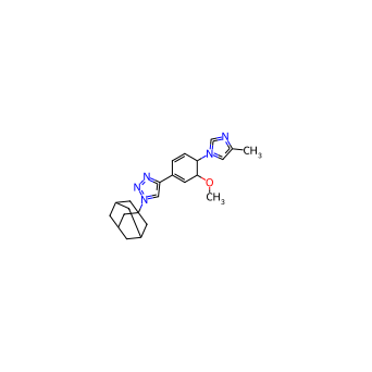 COC1C=C(c2cn(C34CC5CC(CC(C5)C3)C4)nn2)C=CC1n1cnc(C)c1